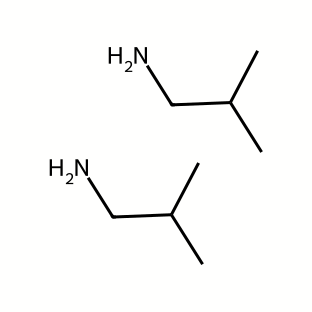 CC(C)CN.CC(C)CN